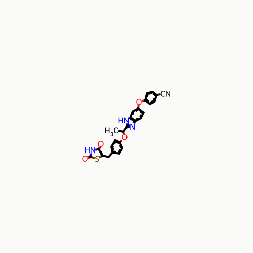 CC(Oc1ccc(CC2SC(=O)NC2=O)cc1)c1nc2ccc(Oc3ccc(C#N)cc3)cc2[nH]1